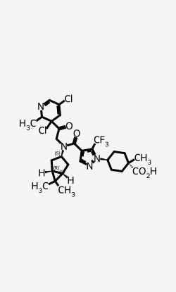 CC1N=CC(Cl)=CC1(Cl)C(=O)CN(C(=O)c1cnn([C@H]2CC[C@](C)(C(=O)O)CC2)c1C(F)(F)F)[C@@H]1C[C@@H]2[C@H](C1)C2(C)C